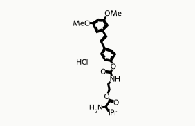 COc1cc(/C=C/c2ccc(OC(=O)NCCOC(=O)C(N)C(C)C)cc2)cc(OC)c1.Cl